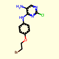 Nc1cnc(Cl)nc1Nc1ccc(OCCBr)cc1